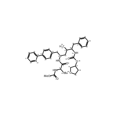 COC(=O)NC(C(=O)NN(Cc1ccc(-c2ccccn2)cc1)CC(C)C(Cc1ccccc1)NC(=O)OC1CCOC1)C(C)(C)C